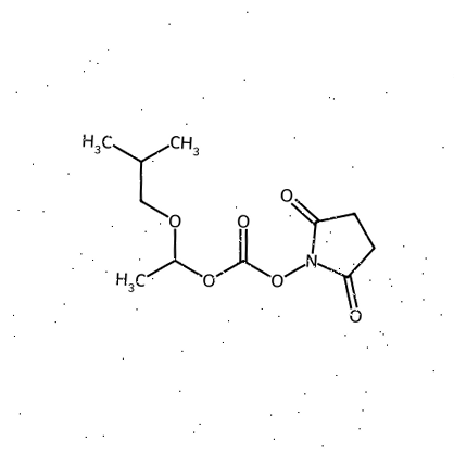 CC(C)COC(C)OC(=O)ON1C(=O)CCC1=O